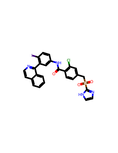 O=C(Nc1ccc(I)c(-c2nccc3ccccc23)c1)c1ccc(CS(=O)(=O)c2ncc[nH]2)cc1Cl